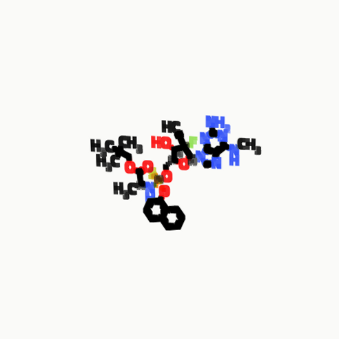 C#C[C@@]1(F)[C@H](O)[C@@H](CO[P@@](=S)(N[C@H](C)C(=O)OCC(C)(C)C)Oc2cccc3ccccc23)O[C@H]1n1cnc2c(NC)nc(N)nc21